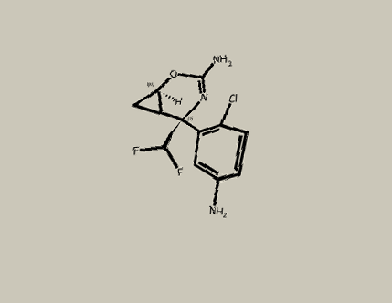 NC1=N[C@@](c2cc(N)ccc2Cl)(C(F)F)C2C[C@H]2O1